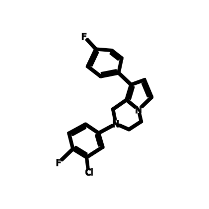 Fc1ccc(-c2ccn3c2CN(c2ccc(F)c(Cl)c2)CC3)cc1